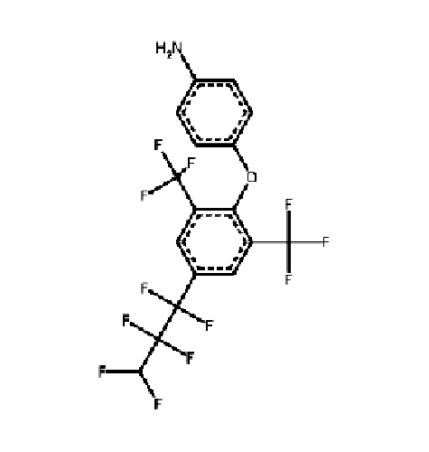 Nc1ccc(Oc2c(C(F)(F)F)cc(C(F)(F)C(F)(F)C(F)F)cc2C(F)(F)F)cc1